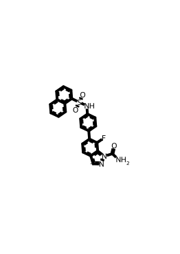 NC(=O)n1n[c]c2ccc(-c3ccc(NS(=O)(=O)c4cccc5ccccc45)cc3)c(F)c21